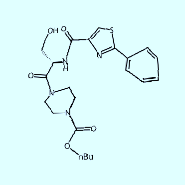 CCCCOC(=O)N1CCN(C(=O)[C@H](CO)NC(=O)c2csc(-c3ccccc3)n2)CC1